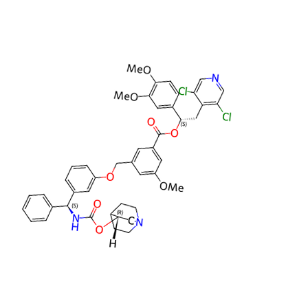 COc1cc(COc2cccc([C@@H](NC(=O)O[C@H]3CN4CCC3CC4)c3ccccc3)c2)cc(C(=O)O[C@@H](Cc2c(Cl)cncc2Cl)c2ccc(OC)c(OC)c2)c1